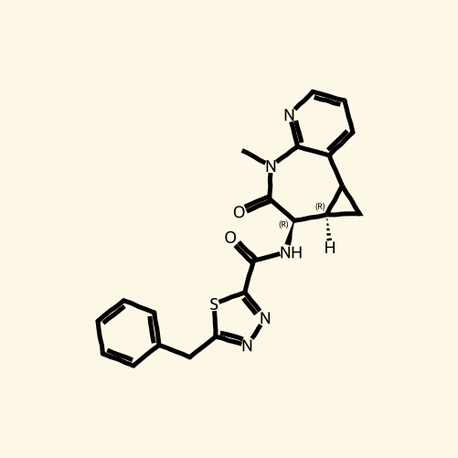 CN1C(=O)[C@H](NC(=O)c2nnc(Cc3ccccc3)s2)[C@@H]2CC2c2cccnc21